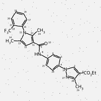 CCOC(=O)c1cn(-c2ccc(NC(=O)c3cc(C)n(-c4ccccc4C(F)(F)F)c3C)cc2)nc1C